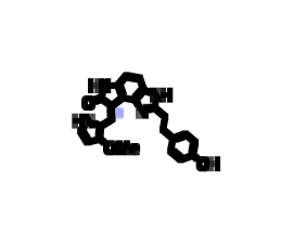 COc1cc[nH]c1/C=C1\C(=O)Nc2ccc3[nH]c(CCc4ccc(O)cc4)nc3c21